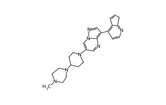 CN1CCN(C2CCN(c3cnc4c(-c5ccnc6c5C=CC6)cnn4c3)CC2)CC1